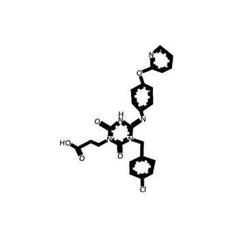 O=C(O)CCn1c(=O)[nH]/c(=N\c2ccc(Oc3ccccn3)cc2)n(Cc2ccc(Cl)cc2)c1=O